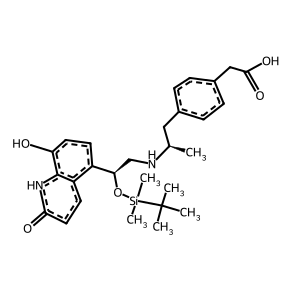 C[C@H](Cc1ccc(CC(=O)O)cc1)NC[C@@H](O[Si](C)(C)C(C)(C)C)c1ccc(O)c2[nH]c(=O)ccc12